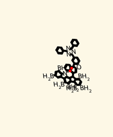 Bc1cc(B)c2c(c1)c1c(B)c(B)c3c(c1n2-c1ccccc1)C(c1ccc2c(c1)oc1ccc(-c4nc(-c5ccccc5)nc(-c5ccccc5)n4)cc12)c1c(B)cc(B)c(B)c1-3